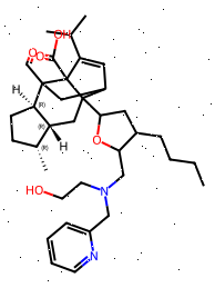 CCCCC1CC(C23C[C@@H]4[C@H](C)CC[C@H]4C4(C=O)CC2C=C(C(C)C)C34C(=O)O)OC1CN(CCO)Cc1ccccn1